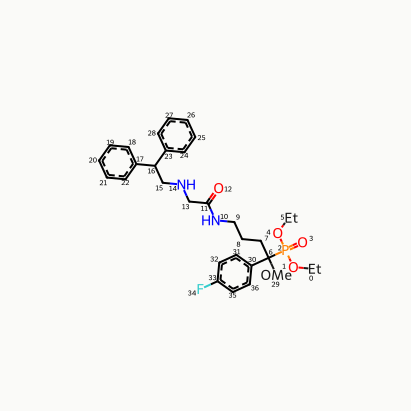 CCOP(=O)(OCC)C(CCCNC(=O)CNCC(c1ccccc1)c1ccccc1)(OC)c1ccc(F)cc1